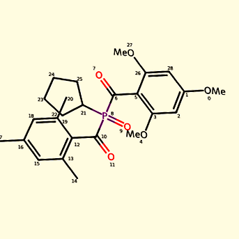 COc1cc(OC)c(C(=O)P(=O)(C(=O)c2c(C)cc(C)cc2C)C2CCCC2)c(OC)c1